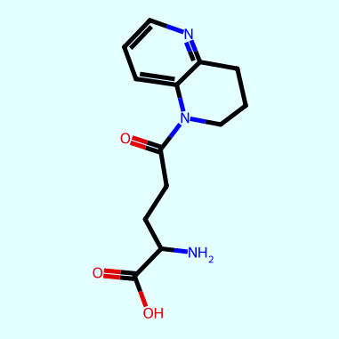 NC(CCC(=O)N1CCCc2ncccc21)C(=O)O